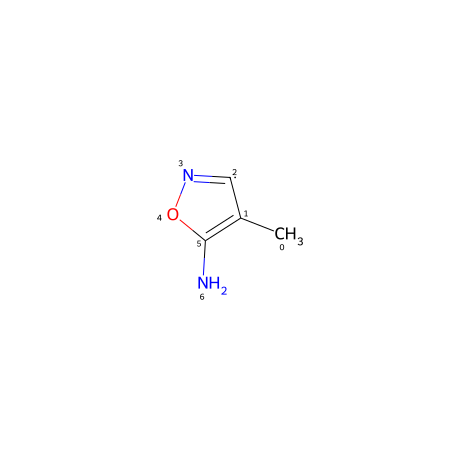 Cc1[c]noc1N